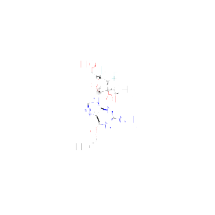 CCOc1nc(N)nc2c1ncn2[C@@H]1O[C@](F)(CO)C(F)[C@@]1(C)O